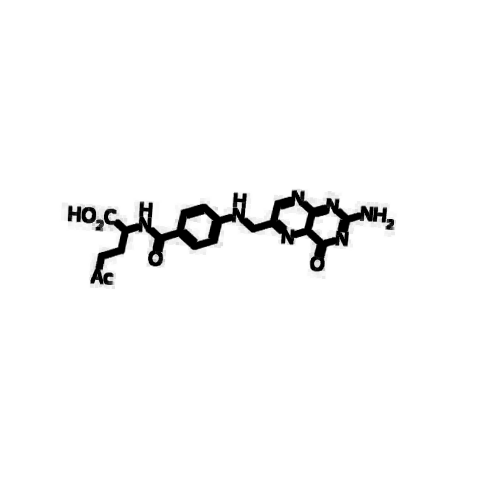 CC(=O)CCC(NC(=O)c1ccc(NCC2=NC3C(=O)N=C(N)N=C3N=C2)cc1)C(=O)O